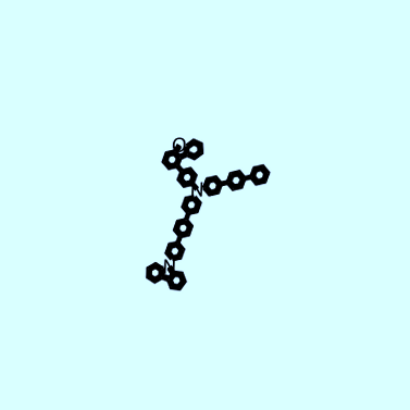 c1ccc(-c2ccc(-c3ccc(N(c4ccc(-c5ccc(-c6ccc(-n7c8ccccc8c8ccccc87)cc6)cc5)cc4)c4ccc(-c5cccc6oc7ccccc7c56)cc4)cc3)cc2)cc1